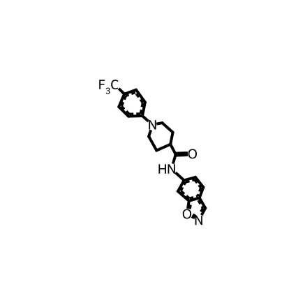 O=C(Nc1ccc2cnoc2c1)C1CCN(c2ccc(C(F)(F)F)cc2)CC1